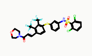 O=C(/C=C/c1ccc(Sc2cccc(NS(=O)(=O)c3c(Cl)cccc3Cl)c2)c(C(F)(F)F)c1C(F)(F)F)N1CCOCC1